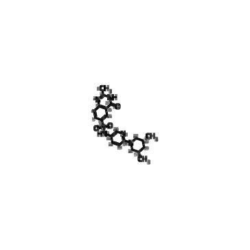 Cc1nc2ccc(S(=O)(=O)Nc3ccc(N4C[C@H](C)C[C@@H](C)C4)nc3)cc2c(=O)[nH]1